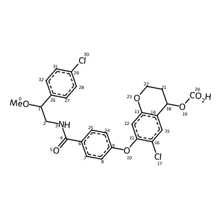 COC(CNC(=O)c1ccc(Oc2cc3c(cc2Cl)C(OC(=O)O)CCO3)cc1)c1ccc(Cl)cc1